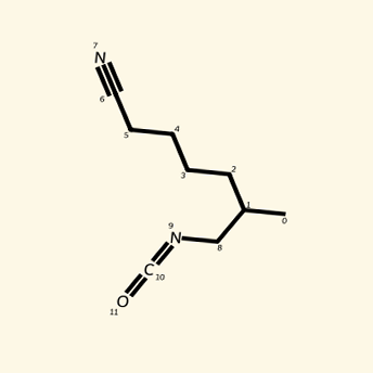 CC(CCCCC#N)CN=C=O